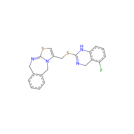 Fc1cccc2c1CN=C(SCC1=CSC3=NCc4ccccc4CN13)N2